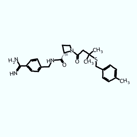 Cc1ccc(CSC(C)(C)CC(=O)N2CC[C@H]2C(=O)NCc2ccc(C(=N)N)cc2)cc1